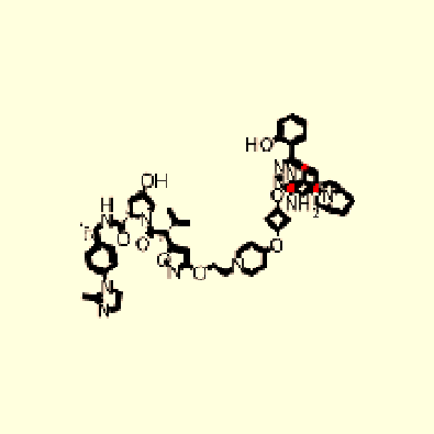 Cc1nccn1-c1ccc([C@H](C)NC(=O)[C@@H]2C[C@@H](O)CN2C(=O)[C@@H](c2cc(OCCN3CCC(O[C@H]4C[C@H](Oc5cc(N6C7CCC6CN(c6cc(-c8ccccc8O)nnc6N)C7)ccn5)C4)CC3)no2)C(C)C)cc1